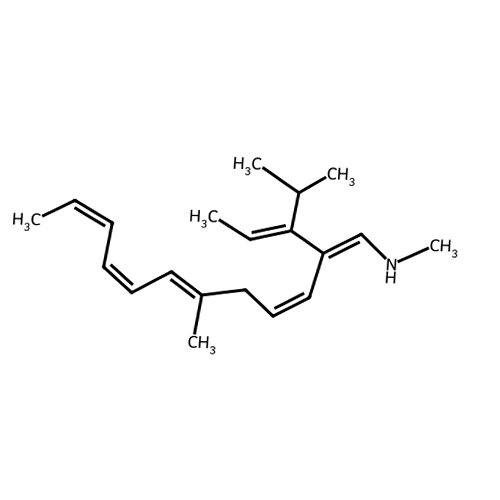 C\C=C/C=C\C=C(/C)C\C=C/C(=C\NC)C(=C/C)/C(C)C